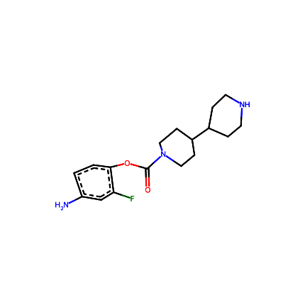 Nc1ccc(OC(=O)N2CCC(C3CCNCC3)CC2)c(F)c1